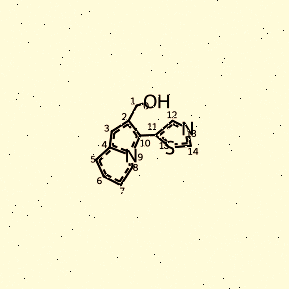 OCc1cc2ccccn2c1-c1cncs1